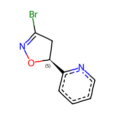 BrC1=NO[C@H](c2ccccn2)C1